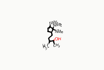 CNC1=CCC(CCC(C)C(C)O)C1(NC)NC